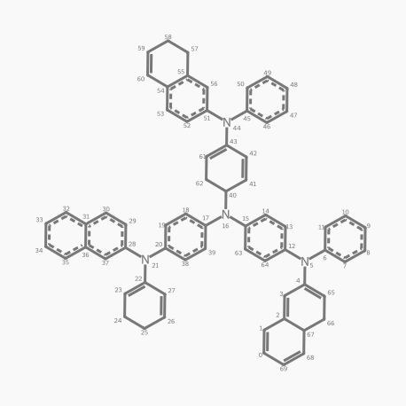 C1=CC2=CC(N(c3ccccc3)c3ccc(N(c4ccc(N(C5=CCCC=C5)c5ccc6ccccc6c5)cc4)C4C=CC(N(c5ccccc5)c5ccc6c(c5)CCC=C6)=CC4)cc3)=CCC2C=C1